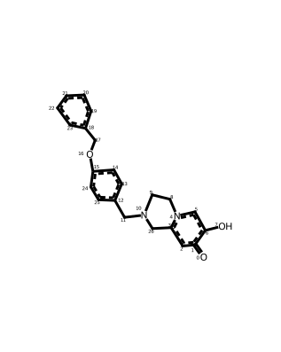 O=c1cc2n(cc1O)CCN(Cc1ccc(OCc3ccccc3)cc1)C2